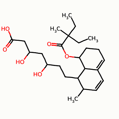 CCC(C)(CC)C(=O)OC1CCC=C2C=CC(C)C(CCC(O)CC(O)CC(=O)O)C21